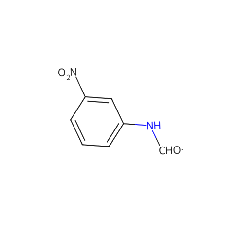 O=[C]Nc1cccc([N+](=O)[O-])c1